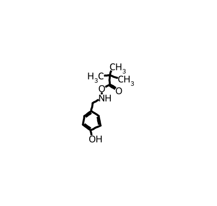 CC(C)(C)C(=O)ONCc1ccc(O)cc1